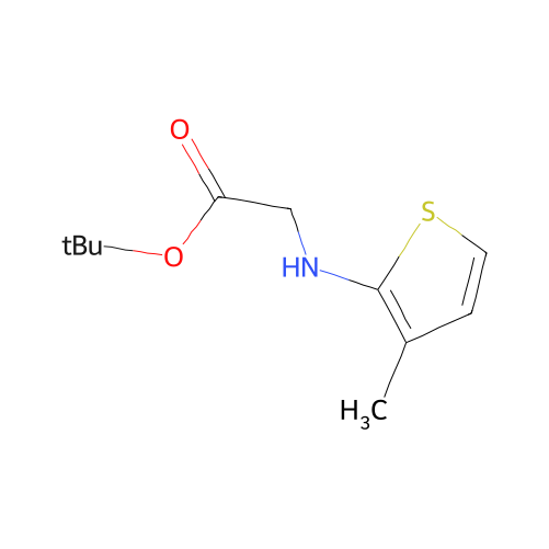 Cc1ccsc1NCC(=O)OC(C)(C)C